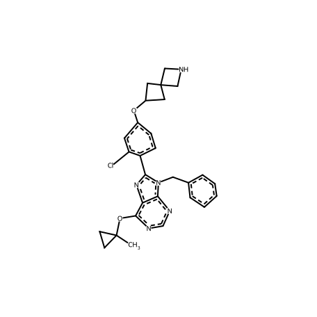 CC1(Oc2ncnc3c2nc(-c2ccc(OC4CC5(CNC5)C4)cc2Cl)n3Cc2ccccc2)CC1